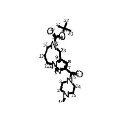 CN1CCN(C(=O)c2cc3n(n2)CCCN(C(=O)OC(C)(C)C)C3)CC1